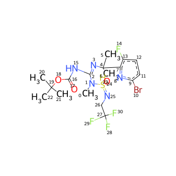 CN(/C(=N\C(C)(C)c1nc(Br)ccc1F)NC(=O)OC(C)(C)C)/[SH](=O)=N\CC(F)(F)F